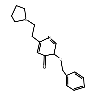 O=C1C=C(CCN2CCCC2)N=CC1OCc1ccccc1